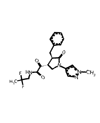 Cn1cc(N2C[C@H](C(=O)C(=O)NCC(C)(F)F)[C@@H](Cc3ccccc3)C2=O)cn1